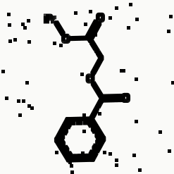 CC(C)OC(=O)COC(=O)c1ccccc1